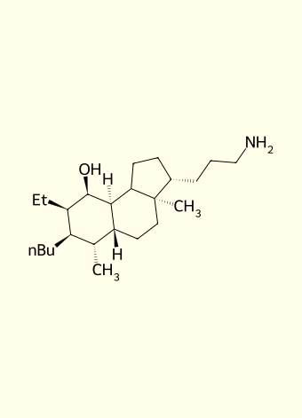 CCCC[C@@H]1[C@@H](C)[C@H]2CC[C@@]3(C)C(CC[C@@H]3CCCN)[C@@H]2[C@H](O)[C@@H]1CC